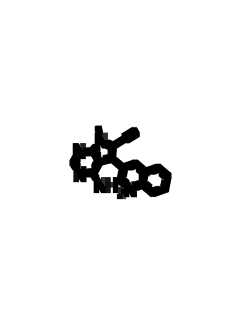 C#Cc1c(-c2cnc3ccccc3c2)c2c(N)ncnc2n1C